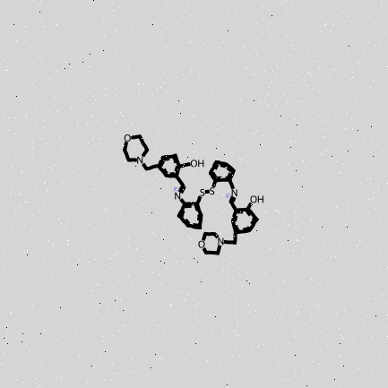 Oc1ccc(CN2CCOCC2)cc1/C=N/c1ccccc1SSc1ccccc1/N=C/c1cc(CN2CCOCC2)ccc1O